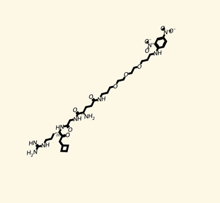 N=C(N)NCCC[C@H](NC(=O)CNC(=O)[C@@H](N)CCC(=O)NCCCOCCOCCOCCCNc1ccc([N+](=O)[O-])cc1[N+](=O)[O-])C(=O)CC1CCC1